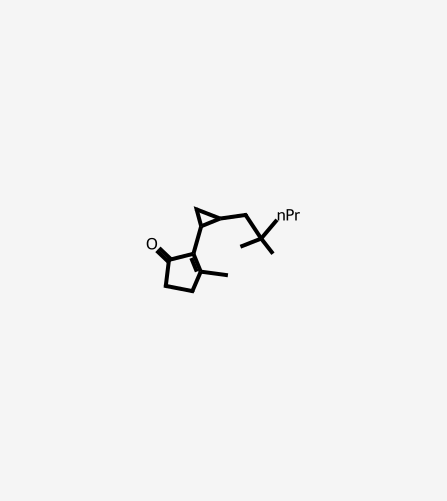 CCCC(C)(C)CC1CC1C1=C(C)CCC1=O